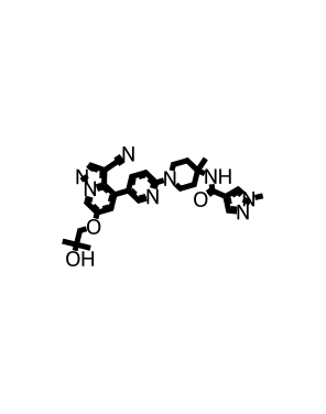 Cn1cc(C(=O)NC2(C)CCN(c3ccc(-c4cc(OCC(C)(C)O)cn5ncc(C#N)c45)cn3)CC2)cn1